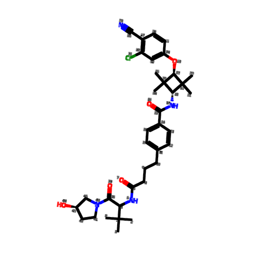 CC(C)(C)C(NC(=O)CCCc1ccc(C(=O)N[C@H]2C(C)(C)[C@H](Oc3ccc(C#N)c(Cl)c3)C2(C)C)cc1)C(=O)N1CC[C@@H](O)C1